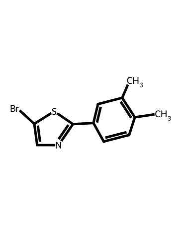 Cc1ccc(-c2ncc(Br)s2)cc1C